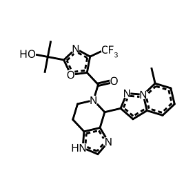 Cc1cccc2cc(C3c4nc[nH]c4CCN3C(=O)c3oc(C(C)(C)O)nc3C(F)(F)F)nn12